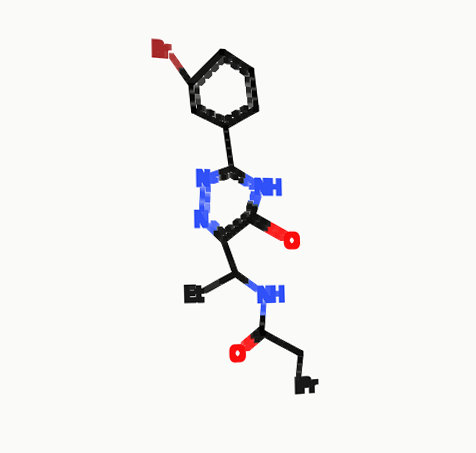 CCC(NC(=O)CC(C)C)c1nnc(-c2cccc(Br)c2)[nH]c1=O